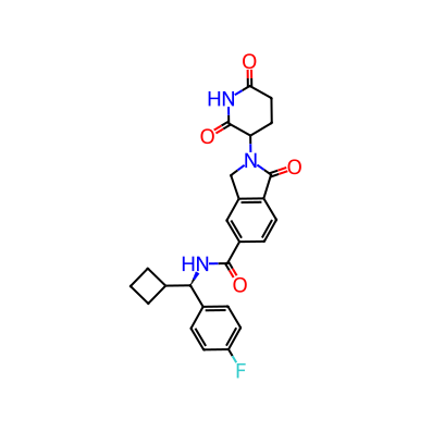 O=C1CCC(N2Cc3cc(C(=O)N[C@@H](c4ccc(F)cc4)C4CCC4)ccc3C2=O)C(=O)N1